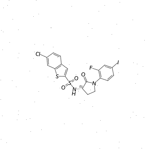 O=C1[C@@H](NS(=O)(=O)c2cc3ccc(Cl)cc3s2)CCN1c1ccc(I)cc1F